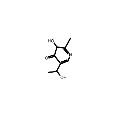 CC1=NC=C(C(C)O)C(=O)C1O